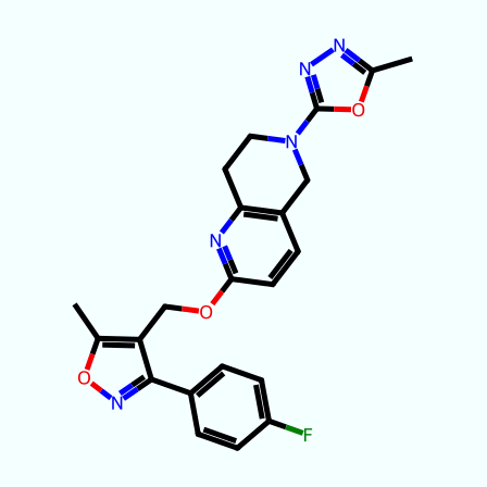 Cc1nnc(N2CCc3nc(OCc4c(-c5ccc(F)cc5)noc4C)ccc3C2)o1